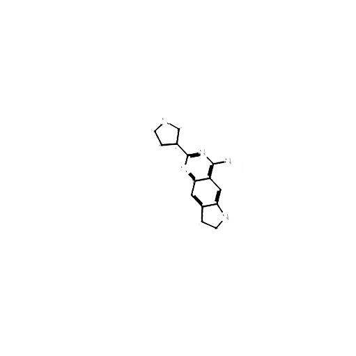 Nc1nc(C2CCNC2)nc2cc3c(cc12)NCC3